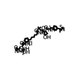 Cc1ncsc1-c1ccc([C@H](C)NC(=O)[C@@H]2C[C@@H](O)CN2C(=O)[C@@H](NC(=O)CCCCCc2cccc(NC(=O)[C@H](CCC(N)=O)NC(=O)O)c2Cl)C(C)(C)C)cc1